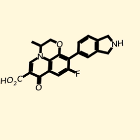 CC1COc2c(-c3ccc4c(c3)CNC4)c(F)cc3c(=O)c(C(=O)O)cn1c23